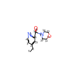 CCc1ccnc(C(=O)N2CCOCC2)c1